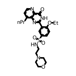 CCCc1ccnc2c(=O)[nH]c(-c3cc(S(=O)(=O)NCCN4CCOCC4)ccc3OCC)nc12